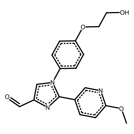 COc1ccc(-c2nc(C=O)cn2-c2ccc(OCCO)cc2)cn1